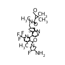 Cc1cc(C(F)(F)F)nc(-c2ccnc3cc(CN(C)C(=O)C4C(C=O)C4(C)C)sc23)c1C(=O)N1CC(N)C(F)C1